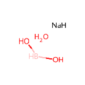 O.OBO.[NaH]